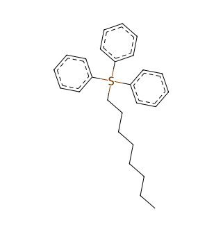 CCCCCCCCS(c1ccccc1)(c1ccccc1)c1ccccc1